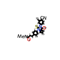 CNC(=O)CCc1ccc(N2C(=S)N(c3ccc(C#N)c(C)c3)C(=O)C23CCC3)cc1